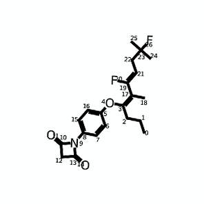 CCC/C(Oc1ccc(N2C(=O)CC2=O)cc1)=C(\C)C(F)=CCC(C)(C)F